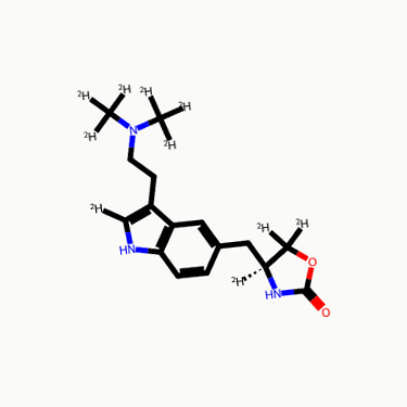 [2H]c1[nH]c2ccc(C[C@]3([2H])NC(=O)OC3([2H])[2H])cc2c1CCN(C([2H])([2H])[2H])C([2H])([2H])[2H]